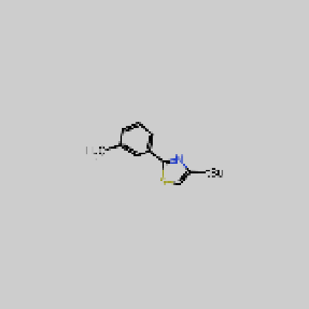 Cc1cccc(-c2nc(C(C)(C)C)cs2)c1